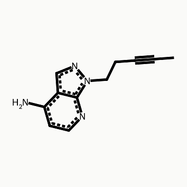 CC#CCCn1ncc2c(N)ccnc21